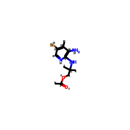 CC(=O)OCC(C)(C)Nc1ncc(Br)c(C)c1N